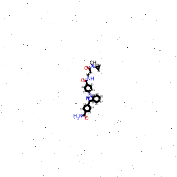 CN(C(=O)CCNC(=O)c1ccc(-n2nc(-c3ccc(C(N)=O)cc3)c3ccccc32)cc1)C1CC1